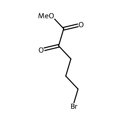 COC(=O)C(=O)CCCBr